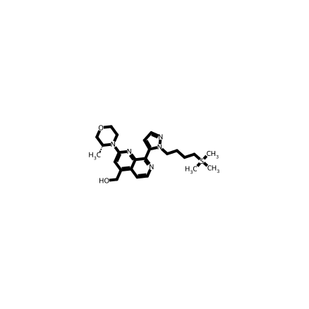 C[C@@H]1COCCN1c1cc(CO)c2ccnc(-c3ccnn3CCCCS(C)(C)C)c2n1